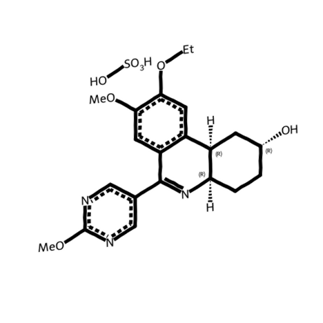 CCOc1cc2c(cc1OC)C(c1cnc(OC)nc1)=N[C@@H]1CC[C@@H](O)C[C@H]21.O=S(=O)(O)O